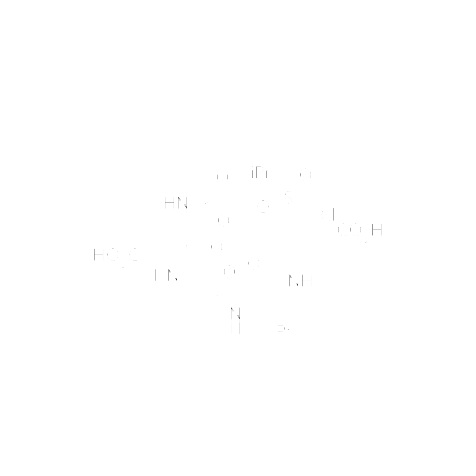 CC(C)[C@H](NC(=O)[C@@H](NC(=O)[C@H](CC(=O)O)NC(=O)OCc1ccccc1)c1ccccc1)C(=O)N[C@H](/C=C(\Cl)S(=O)(=O)C(C)C)CC(=O)O